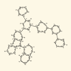 c1ccc(-c2cccc(-c3ccc(-c4nc(-c5ccccc5)nc(-c5ccc6c7ccccc7n(-c7cccc8ccccc78)c6c5)n4)cc3)c2)cc1